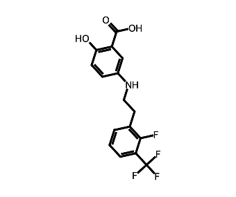 O=C(O)c1cc(NCCc2cccc(C(F)(F)F)c2F)ccc1O